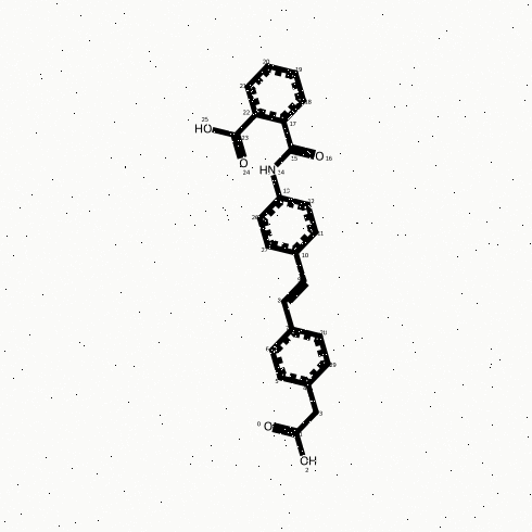 O=C(O)Cc1ccc(C=Cc2ccc(NC(=O)c3ccccc3C(=O)O)cc2)cc1